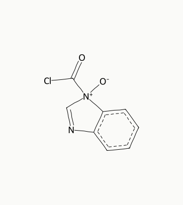 O=C(Cl)[N+]1([O-])C=Nc2ccccc21